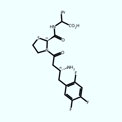 CC(C)C(NC(=O)[C@@H]1SCCN1C(=O)C[C@H](N)Cc1cc(F)c(F)cc1F)C(=O)O